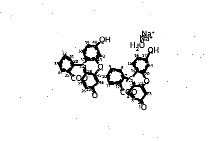 O.O=C1C=CC2=S(c3ccccc3C(=O)[O-])c3ccc(O)cc3OC2=C1.O=C1C=CC2=S(c3ccccc3C(=O)[O-])c3ccc(O)cc3OC2=C1.[Na+].[Na+]